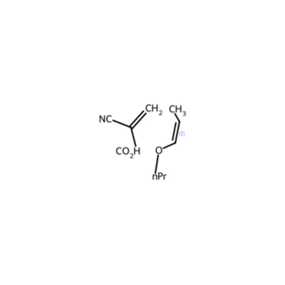 C/C=C\OCCC.C=C(C#N)C(=O)O